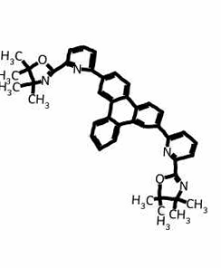 CC1(C)N=C(c2cccc(-c3ccc4c5ccc(-c6cccc(C7=NC(C)(C)C(C)(C)O7)n6)cc5c5ccccc5c4c3)n2)OC1(C)C